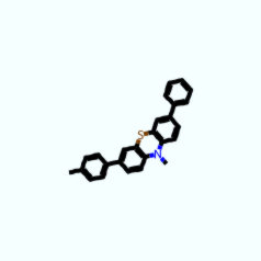 Cc1ccc(-c2ccc3c(c2)Sc2cc(-c4ccccc4)ccc2N3C)cc1